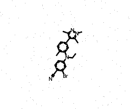 CCN(c1ccc(C#N)c(Br)c1)c1cc(-c2c(C)nn(C)c2C)ccc1C